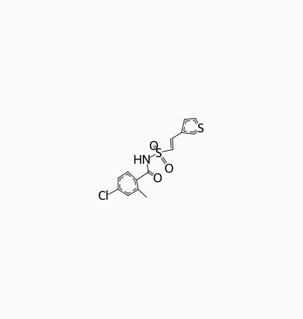 Cc1cc(Cl)ccc1C(=O)NS(=O)(=O)/C=C/c1ccsc1